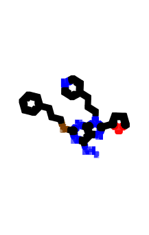 Nc1nc(SCCCc2ccccc2)nc2c1nc(-c1ccco1)n2CCCc1ccncc1